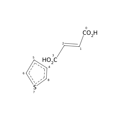 O=C(O)C=CC(=O)O.c1ccsc1